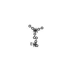 CCc1nc2ccccc2n1-c1ccc(-c2cccc3c(-c4ccc(-c5nc(-c6ccc(-c7ccccc7)cc6)nc(-c6ccc(-c7ccccc7)cc6)n5)cc4)cccc23)cc1